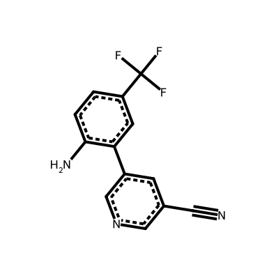 N#Cc1cncc(-c2cc(C(F)(F)F)ccc2N)c1